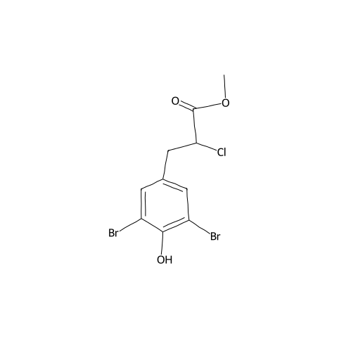 COC(=O)C(Cl)Cc1cc(Br)c(O)c(Br)c1